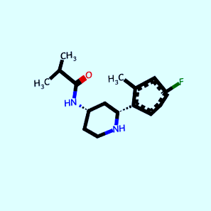 Cc1cc(F)ccc1[C@H]1C[C@@H](NC(=O)C(C)C)CCN1